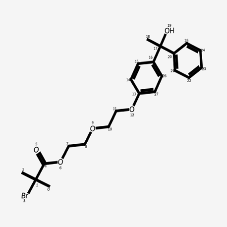 CC(C)(Br)C(=O)OCCOCCOc1ccc(C(C)(O)c2ccccc2)cc1